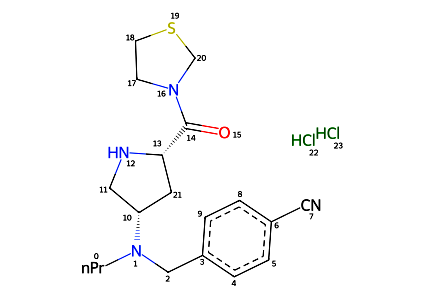 CCCN(Cc1ccc(C#N)cc1)[C@@H]1CN[C@H](C(=O)N2CCSC2)C1.Cl.Cl